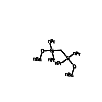 CCCCO[Si](CCC)(CCC)C[Si](CCC)(CCC)OCCCC